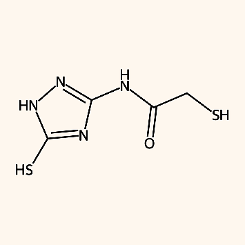 O=C(CS)Nc1n[nH]c(S)n1